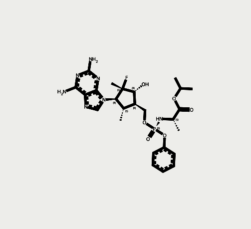 CC(C)OC(=O)[C@H](C)N[P@](=O)(OC[C@H]1[C@H](C)[C@@H](n2cnc3c(N)nc(N)nc32)[C@](C)(F)[C@@H]1O)Oc1ccccc1